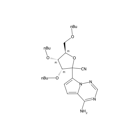 CCCCOC[C@H]1OC(C#N)(c2ccc3c(N)ncnn23)[C@H](OCCCC)[C@@H]1OCCCC